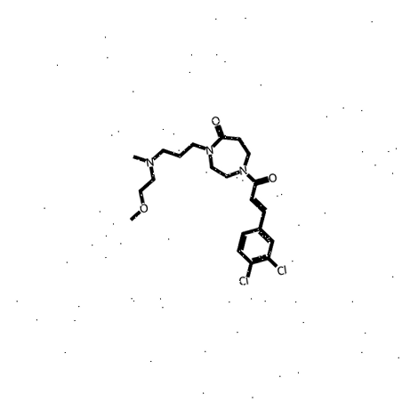 COCCN(C)CCCN1CCN(C(=O)C=Cc2ccc(Cl)c(Cl)c2)CCC1=O